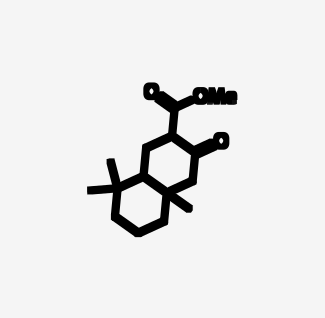 COC(=O)C1CC2C(C)(C)CCCC2(C)CC1=O